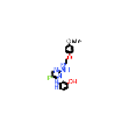 COc1ccc(OCC=NNc2ncc(F)c(Nc3cccc(O)c3)n2)cc1